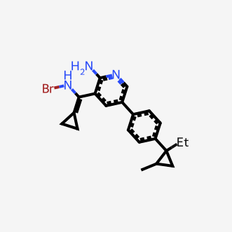 CCC1(c2ccc(-c3cnc(N)c(C(NBr)=C4CC4)c3)cc2)CC1C